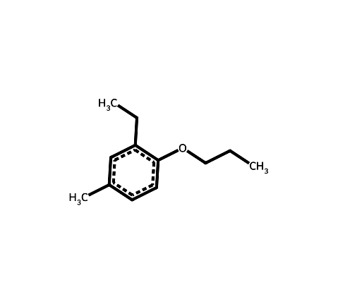 CCCOc1ccc(C)cc1CC